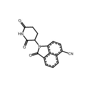 N#Cc1ccc2c3c(cccc13)C(=O)N2C1CCC(=O)NC1=O